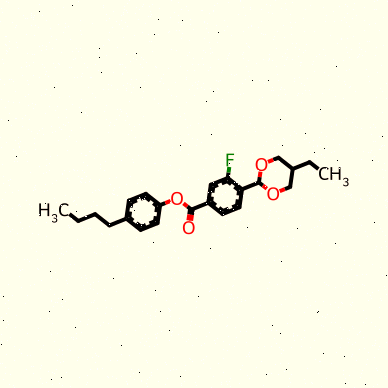 CCCCc1ccc(OC(=O)c2ccc(C3OCC(CC)CO3)c(F)c2)cc1